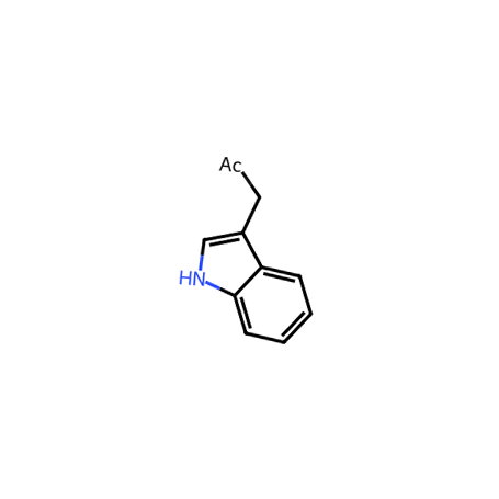 CC(=O)Cc1c[nH]c2ccccc12